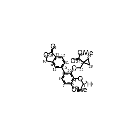 [2H]C([2H])Oc1c(OC)ccc(-c2ccc3c(c2)COC3=O)c1OCC1(C(=O)OC)CC1